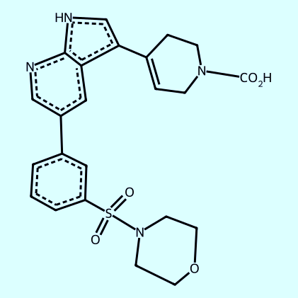 O=C(O)N1CC=C(c2c[nH]c3ncc(-c4cccc(S(=O)(=O)N5CCOCC5)c4)cc23)CC1